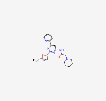 Cc1ccc(-c2nc(NC(=O)CN3CCCCC3)cc(-c3ccccn3)n2)o1